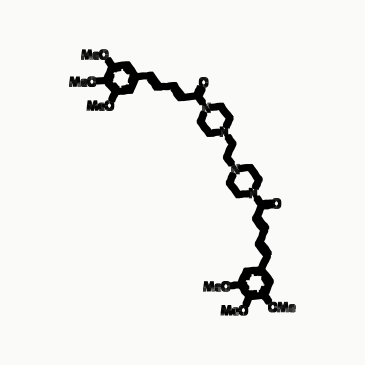 COc1cc(C=CC=CC(=O)N2CCN(CCN3CCN(C(=O)C=CC=Cc4cc(OC)c(OC)c(OC)c4)CC3)CC2)cc(OC)c1OC